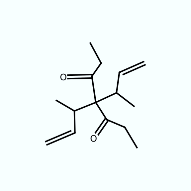 C=CC(C)C(C(=O)CC)(C(=O)CC)C(C)C=C